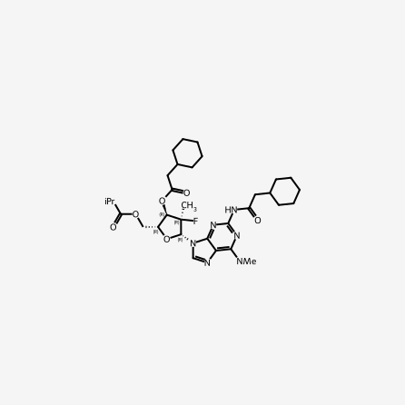 CNc1nc(NC(=O)CC2CCCCC2)nc2c1ncn2[C@@H]1O[C@H](COC(=O)C(C)C)[C@@H](OC(=O)CC2CCCCC2)[C@@]1(C)F